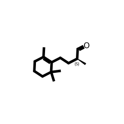 CC1=C(CC[C@H](C)C=O)C(C)(C)CCC1